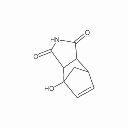 O=C1NC(=O)C2C1C1C=CC2(O)C1